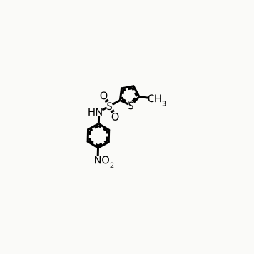 Cc1ccc(S(=O)(=O)Nc2ccc([N+](=O)[O-])cc2)s1